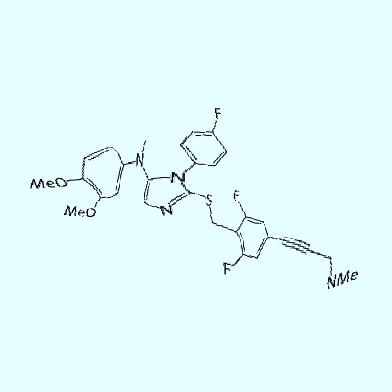 CNCC#Cc1cc(F)c(CSc2ncc(N(C)c3ccc(OC)c(OC)c3)n2-c2ccc(F)cc2)c(F)c1